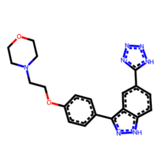 c1cc(-c2n[nH]c3ccc(-c4nnn[nH]4)cc23)ccc1OCCN1CCOCC1